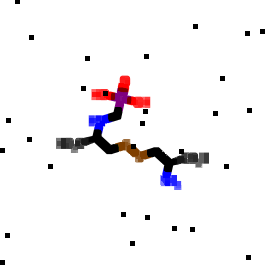 N[C@@H](CSSC[C@H](NCP(=O)(O)O)C(=O)O)C(=O)O